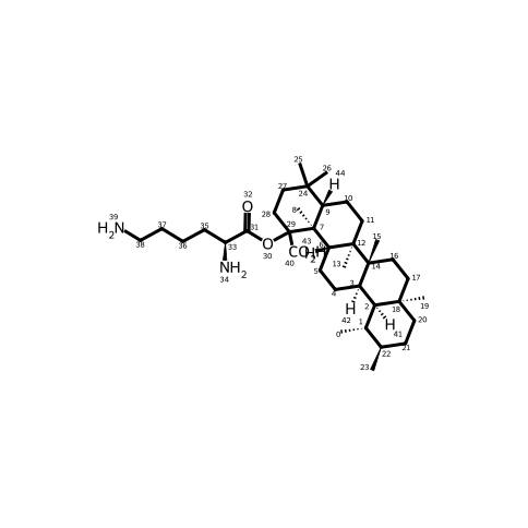 C[C@@H]1[C@H]2[C@H]3CC[C@@H]4[C@]5(C)[C@@H](CC[C@@]4(C)[C@]3(C)CC[C@@]2(C)CC[C@H]1C)C(C)(C)CCC5(OC(=O)[C@@H](N)CCCCN)C(=O)O